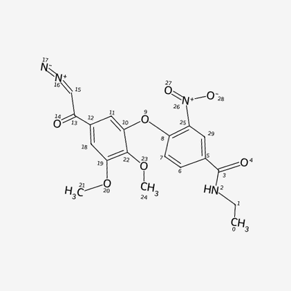 CCNC(=O)c1ccc(Oc2cc(C(=O)C=[N+]=[N-])cc(OC)c2OC)c([N+](=O)[O-])c1